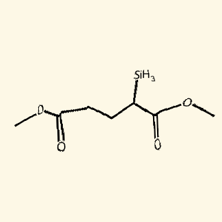 COC(=O)CCC([SiH3])C(=O)OC